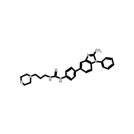 Cc1nc2cc(-c3ccc(NC(=O)NCCCN4CCOCC4)cc3)ccc2n1-c1ccccc1